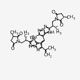 C=C(C)c1nn2nc(C(C)CN3C(=O)CC(C)C3=O)nc2c1=Cc1c(C(C)(C)C)nn2nc(C(C)CN3C(=O)CC(C)C3=O)[nH]c12